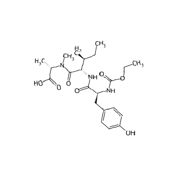 CCOC(=O)N[C@@H](Cc1ccc(O)cc1)C(=O)N[C@H](C(=O)N(C)[C@@H](C)C(=O)O)[C@@H](C)CC